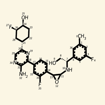 Cc1cc(F)cc([C@@H](CO)NC2OC2c2ccc(-c3nc([C@H]4CC[C@H](O)[C@H](F)C4)cnc3N)cc2F)c1